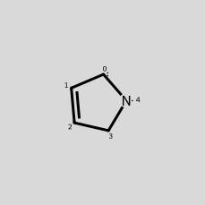 [C]1C=CC[N]1